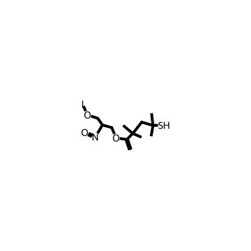 C=C(OCC(COI)N=O)C(C)(C)CC(C)(C)S